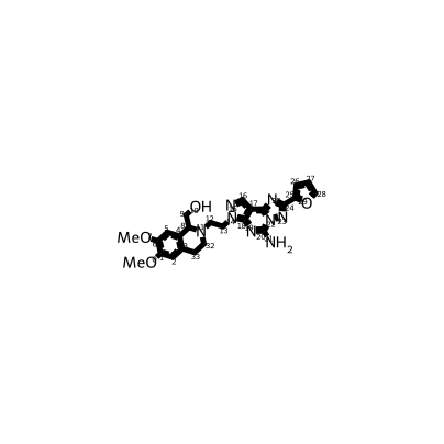 COc1cc2c(cc1OC)C(CO)N(CCn1ncc3c1nc(N)n1nc(-c4ccco4)nc31)CC2